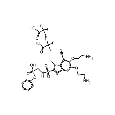 N#Cc1c(OCCN)c(OCCN)cc2sc(S(=O)(=O)NCP(=O)(O)Oc3ccccc3)c(F)c12.O=C(O)C(F)(F)F.O=C(O)C(F)(F)F